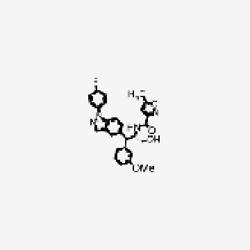 COc1cccc([C@@H](c2ccc3c(cnn3-c3ccc(F)cc3)c2)[C@@H](CO)NC(=O)c2cc(C)on2)c1